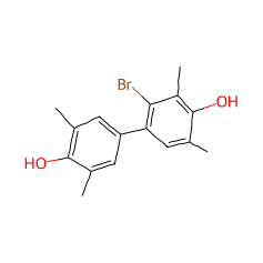 Cc1cc(-c2cc(C)c(O)c(C)c2Br)cc(C)c1O